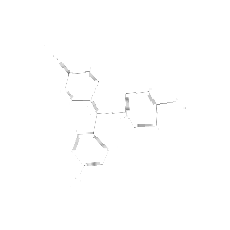 [Cl-].[N+]=C1C=CC(=C(c2ccc(N)cc2)c2ccc(N)cc2)C=C1